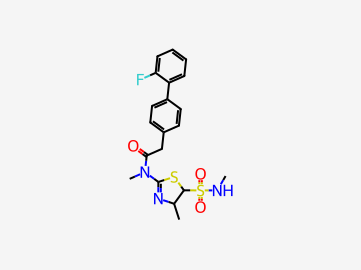 CNS(=O)(=O)C1SC(N(C)C(=O)Cc2ccc(-c3ccccc3F)cc2)=NC1C